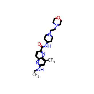 O=C(NC1CCN(CCN2CCOCC2)CC1)c1ccc2nc(NCC(F)(F)F)cc(C(F)(F)F)c2n1